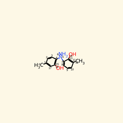 Cc1ccc(N(N)c2cccc(C)c2O)c(O)c1